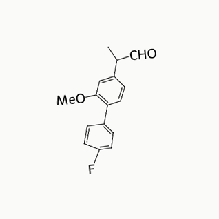 COc1cc(C(C)C=O)ccc1-c1ccc(F)cc1